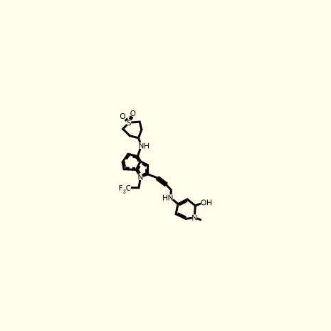 CN1C=CC(NCC#Cc2cc3c(NC4CCS(=O)(=O)CC4)cccc3n2CC(F)(F)F)=CC1O